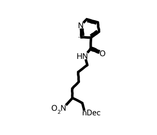 CCCCCCCCCCCC(CCCCNC(=O)c1[c]nccc1)[N+](=O)[O-]